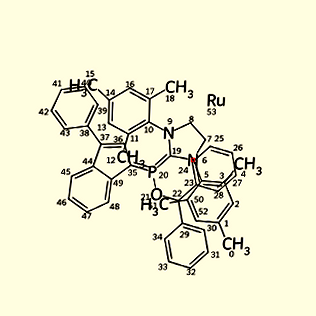 Cc1cc(C)c(N2CCN(c3c(C)cc(C)cc3C)C2=P(OC(c2ccccc2)c2ccccc2)=C2C=C(c3ccccc3)c3ccccc32)c(C)c1.[Ru]